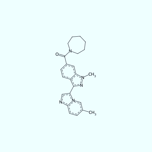 Cc1ccc2ncc(-c3nn(C)c4cc(C(=O)N5CCCCCC5)ccc34)n2c1